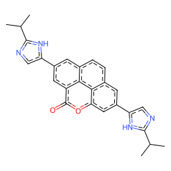 CC(C)c1ncc(-c2cc3ccc4cc(-c5cnc(C(C)C)[nH]5)cc5c(=O)oc(c2)c3c45)[nH]1